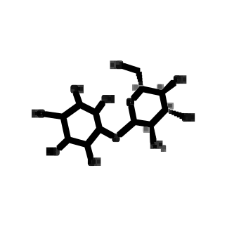 N[C@H]1C(OC2C(O)C(O)C(O)C(O)C2O)O[C@H](CO)[C@@H](O)[C@@H]1O